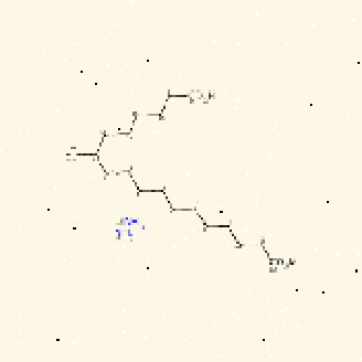 CCC(CCCCCCCCCCC(=O)O)CCCCCC(=O)O.N.N